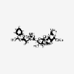 COc1nc(N)nc2c1ncn2[C@@]1(O)O[C@H](CO[P@](O)(=S)NC(C)=C(OCC(C)(C)C)Oc2ccccc2)[C@@H](O)[C@@]1(C)O